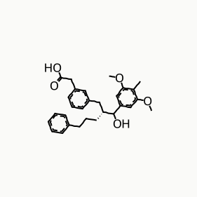 COc1cc(C(O)[C@H](CCCc2ccccc2)Cc2cccc(CC(=O)O)c2)cc(OC)c1C